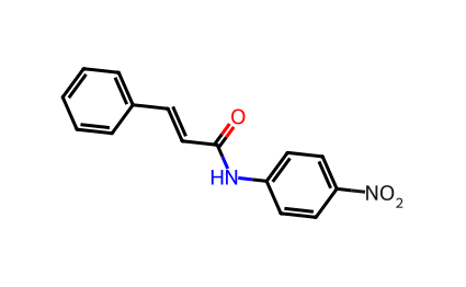 O=C(/C=C/c1ccccc1)Nc1ccc([N+](=O)[O-])cc1